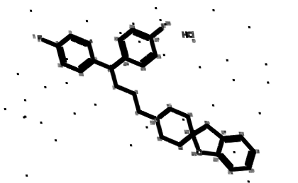 Cl.Fc1ccc(C(CCCN2CCC3(CC2)Cc2ccccc2O3)c2ccc(F)cc2)cc1